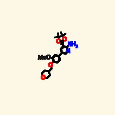 COc1cc(-c2cnc(N)c(B3OC(C)(C)C(C)(C)O3)c2)ccc1OCC1CCOCC1